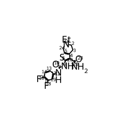 CCN1CCc2c(sc(NC(=O)Nc3ccc(F)c(F)c3)c2C(N)=O)C1